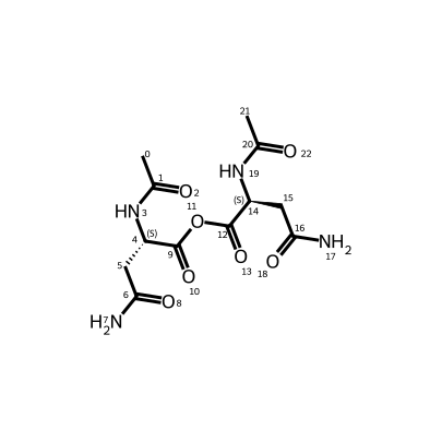 CC(=O)N[C@@H](CC(N)=O)C(=O)OC(=O)[C@H](CC(N)=O)NC(C)=O